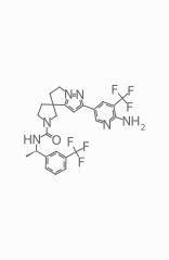 C[C@@H](NC(=O)N1CCC2(CCn3nc(-c4cnc(N)c(C(F)(F)F)c4)cc32)C1)c1cccc(C(F)(F)F)c1